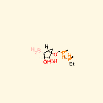 B[C@@H]1[C@H]2CC2(OC[PH](=C)C[PH](=C)CC)[C@@H](O)[C@@]1(C)O